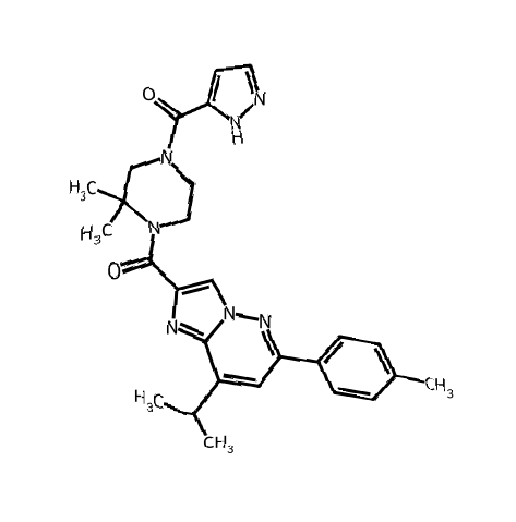 Cc1ccc(-c2cc(C(C)C)c3nc(C(=O)N4CCN(C(=O)c5ccn[nH]5)CC4(C)C)cn3n2)cc1